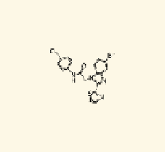 O=C(Cn1c(-c2nccs2)nc2cc(Br)ccc21)Nc1ccc(Cl)cc1